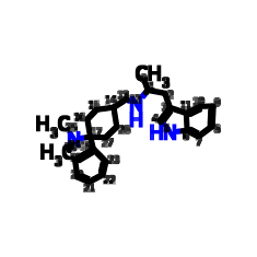 CC(Cc1c[nH]c2ccccc12)NCC1CCC(c2ccccc2)(N(C)C)CC1